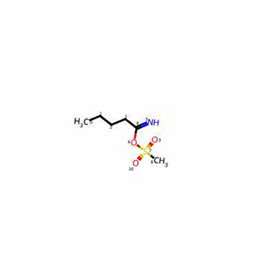 CCCCC(=N)OS(C)(=O)=O